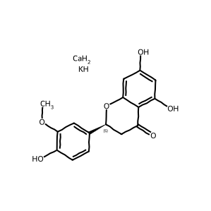 COc1cc([C@@H]2CC(=O)c3c(O)cc(O)cc3O2)ccc1O.[CaH2].[KH]